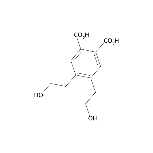 O=C(O)c1cc(CCO)c(CCO)cc1C(=O)O